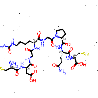 NC(=O)CC[C@H](NC(=O)[C@@H]1CCCN1C(=O)CNC(=O)[C@H](CCCCNC(N)=O)NC(=O)CNC(=O)[C@@H](CC(=O)O)NC(=O)[C@H](N)CS)C(=O)N[C@H](CS)C(=O)O